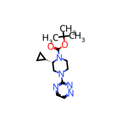 CC(C)(C)OC(=O)N1CCN(c2nccnn2)C[C@@H]1C1CC1